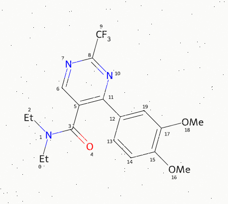 CCN(CC)C(=O)c1cnc(C(F)(F)F)nc1-c1ccc(OC)c(OC)c1